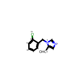 O=Cc1cncn1Cc1ccccc1Cl